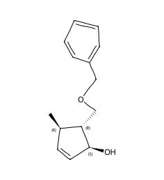 C[C@@H]1C=C[C@H](O)[C@H]1COCc1ccccc1